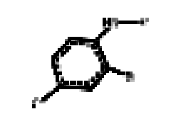 Clc1ccc(NBr)c(Br)c1